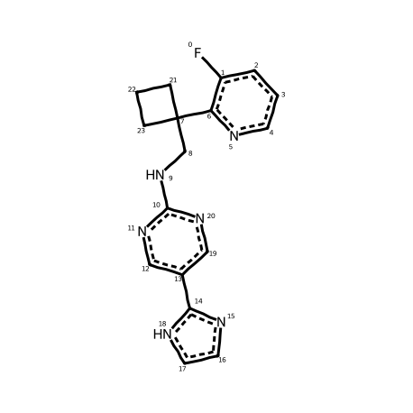 Fc1cccnc1C1(CNc2ncc(-c3ncc[nH]3)cn2)CCC1